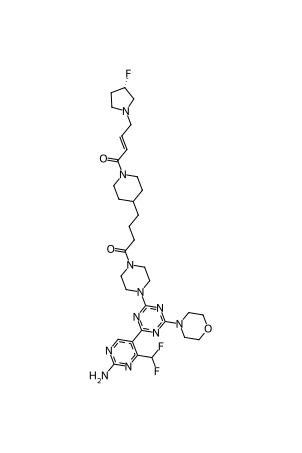 Nc1ncc(-c2nc(N3CCOCC3)nc(N3CCN(C(=O)CCCC4CCN(C(=O)/C=C/CN5CC[C@H](F)C5)CC4)CC3)n2)c(C(F)F)n1